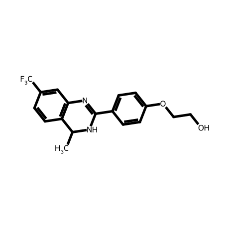 CC1NC(c2ccc(OCCO)cc2)=Nc2cc(C(F)(F)F)ccc21